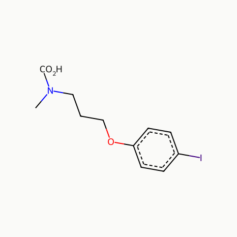 CN(CCCOc1ccc(I)cc1)C(=O)O